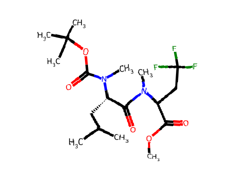 COC(=O)C(CC(F)(F)F)N(C)C(=O)[C@H](CC(C)C)N(C)C(=O)OC(C)(C)C